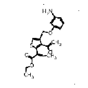 C=C(Cl)c1c(COc2cccc(N)c2)csc1/C(=C\C)C(=O)OCC